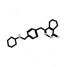 O=c1[nH]nc(Cc2ccc(CNC3CCCCC3)cc2)c2c1CCCC2